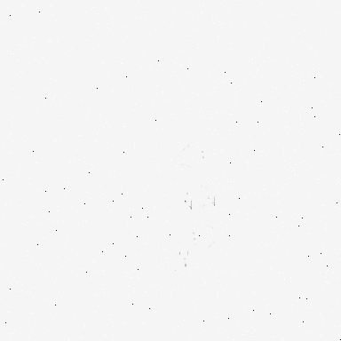 CCCCCCCCc1ccc(-c2cnc(-c3ccc(OC(C)C(=O)OCCCCC)cc3)nc2)cc1